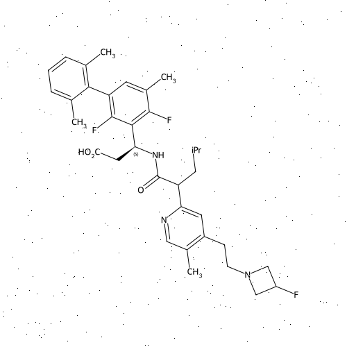 Cc1cnc(C(CC(C)C)C(=O)N[C@@H](CC(=O)O)c2c(F)c(C)cc(-c3c(C)cccc3C)c2F)cc1CCN1CC(F)C1